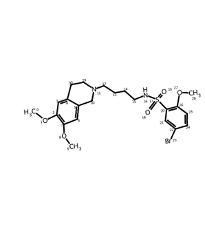 COc1cc2c(cc1OC)CN(CCCCNS(=O)(=O)c1cc(Br)ccc1OC)CC2